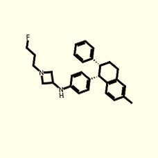 Cc1ccc2c(c1)CC[C@@H](c1ccccc1)[C@H]2c1ccc(NC2CN(CCCF)C2)cc1